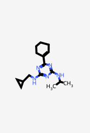 CC(C)Nc1nc(NCC2CC2)nc(C2=CCCCC2)n1